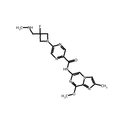 CNCC1(F)CN(c2cnc(C(=O)Nc3cn4cc(C)nc4c(OC)n3)cn2)C1